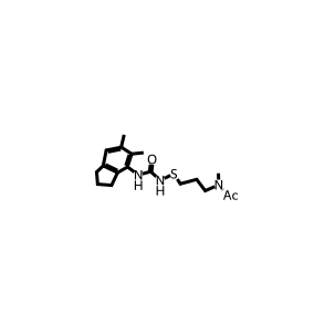 CC(=O)N(C)CCCSNC(=O)Nc1c(C)c(C)cc2c1CCC2